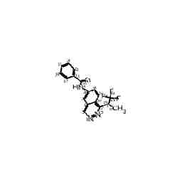 C[C@@H](c1nncc2cc(NC(=O)c3ccccc3)ccc12)C(F)(F)F